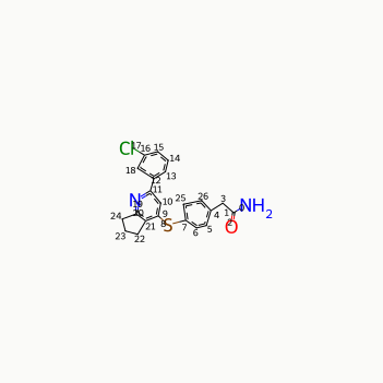 NC(=O)Cc1ccc(Sc2cc(-c3cccc(Cl)c3)nc3c2CCC3)cc1